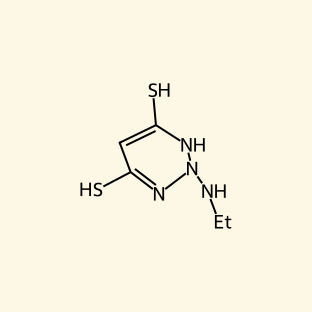 CCNN1N=C(S)C=C(S)N1